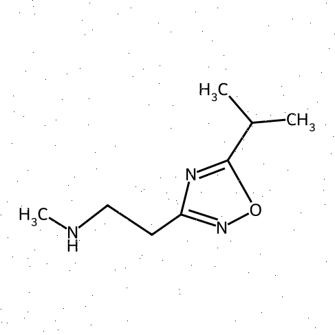 CNCCc1noc(C(C)C)n1